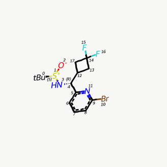 CC(C)(C)[S@@+]([O-])N[C@@H](c1cccc(Br)n1)C1CC(F)(F)C1